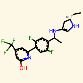 CC[C@H]1CC(NC(C)c2cc(F)c(-c3cc(C(F)(F)F)cc(O)n3)cc2F)=CN1